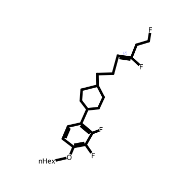 CCCCCCOc1ccc(C2CCC(CC/C=C(\F)CCF)CC2)c(F)c1F